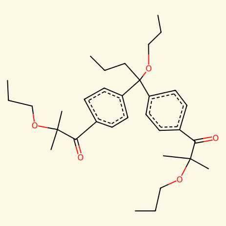 CCCOC(C)(C)C(=O)c1ccc(C(CCC)(OCCC)c2ccc(C(=O)C(C)(C)OCCC)cc2)cc1